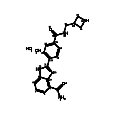 Cl.Cl.NC(=O)c1cccc2[nH]c(-c3ccc(C(=O)NCC4CNC4)cc3)nc12